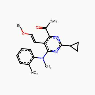 CCO/C=C/c1c(C(=O)OC)nc(C2CC2)nc1N(C)c1ccccc1[N+](=O)[O-]